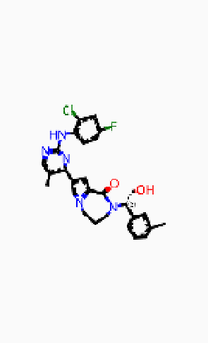 Cc1cccc([C@@H](CO)N2CCCn3cc(-c4nc(Nc5ccc(F)cc5Cl)ncc4C)cc3C2=O)c1